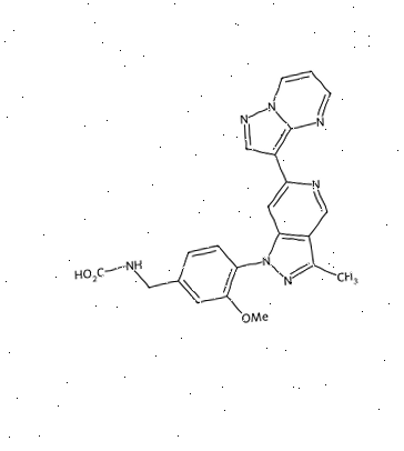 COc1cc(CNC(=O)O)ccc1-n1nc(C)c2cnc(-c3cnn4cccnc34)cc21